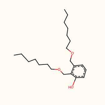 CCCCCCCOCc1cccc(O)c1COCCCCCCC